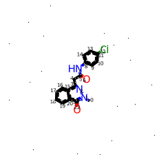 Cn1nc(CC(=O)Nc2ccc(Cl)cc2)c2ccccc2c1=O